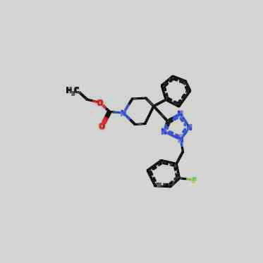 CCOC(=O)N1CCC(c2ccccc2)(c2nnn(Cc3ccccc3F)n2)CC1